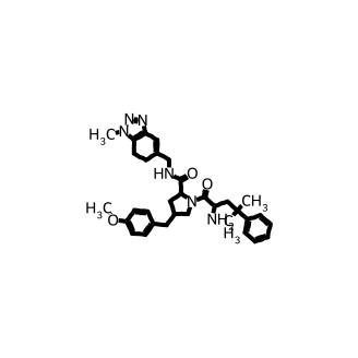 COc1ccc(CC2CC(C(=O)NCC3=Cc4nnn(C)c4CC3)N(C(=O)C(N)CC(C)(C)c3ccccc3)C2)cc1